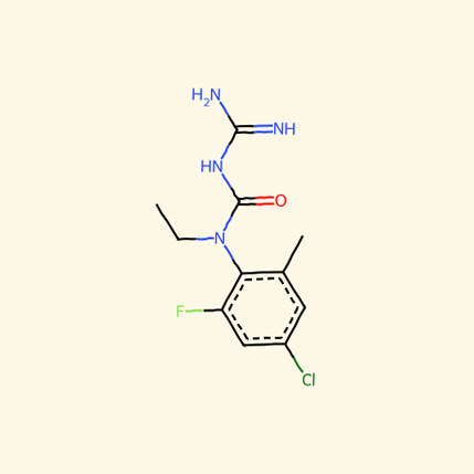 CCN(C(=O)NC(=N)N)c1c(C)cc(Cl)cc1F